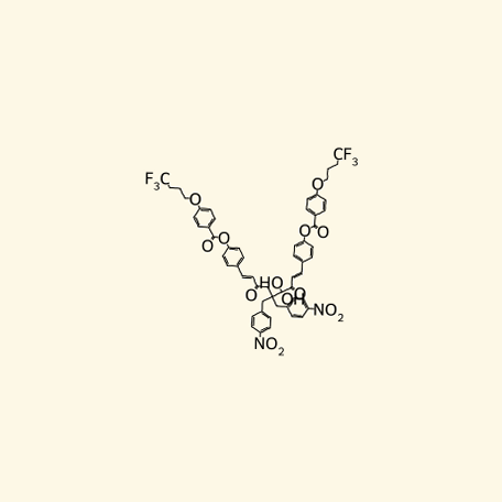 O=C(C=Cc1ccc(OC(=O)c2ccc(OCCCC(F)(F)F)cc2)cc1)CC(Cc1ccc([N+](=O)[O-])cc1)(Cc1ccc([N+](=O)[O-])cc1)C(O)(O)C(=O)C=Cc1ccc(OC(=O)c2ccc(OCCCC(F)(F)F)cc2)cc1